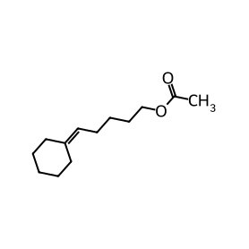 CC(=O)OCCCCC=C1CCCCC1